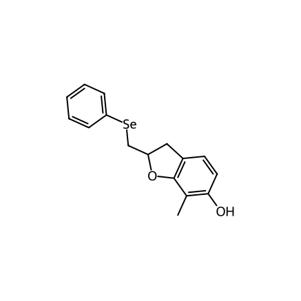 Cc1c(O)ccc2c1OC(C[Se]c1ccccc1)C2